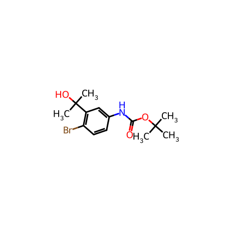 CC(C)(C)OC(=O)Nc1ccc(Br)c(C(C)(C)O)c1